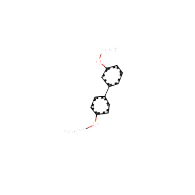 CCCCCCCCOc1cc[c]c(-c2ccc(OCCCCCCC)cc2)c1